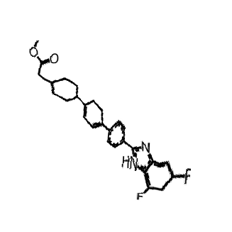 COC(=O)CC1CCC(C2=CC=C(c3ccc(-c4nc5c([nH]4)=C(F)CC(F)C=5)cc3)CC2)CC1